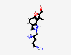 Cc1c(C=O)oc2c1-c1nn(C/C(N)=C/C=C\N)cc1CC2